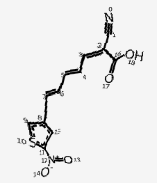 N#CC(=CC=CC=Cc1csc([N+](=O)[O-])c1)C(=O)O